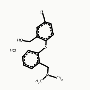 CN(C)Cc1ccccc1Sc1ccc(Cl)cc1CO.Cl